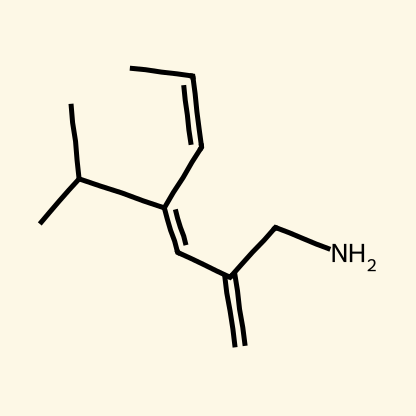 C=C(/C=C(\C=C/C)C(C)C)CN